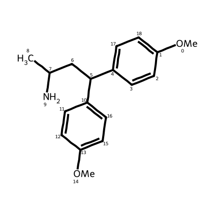 COc1ccc(C(CC(C)N)c2ccc(OC)cc2)cc1